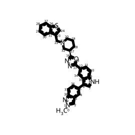 Cn1cc2cc(-c3c[nH]c4ccc(-c5nnc([C@@H]6CCCN(Cc7csc8ccccc78)C6)o5)cc34)ccc2n1